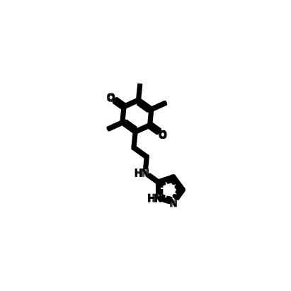 CC1=C(C)C(=O)C(CCNc2ccn[nH]2)=C(C)C1=O